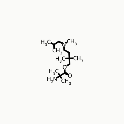 CC(C)CN(C)CCC(C)(C)COC(=O)C(C)(C)N